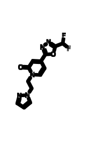 O=c1cc(-c2nnc(C(F)F)o2)ccn1CCn1cccn1